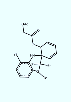 CC(=O)OCC(=O)OC1C=CC=CC1(Nc1c(Cl)cccc1Cl)C(Br)(Br)CBr